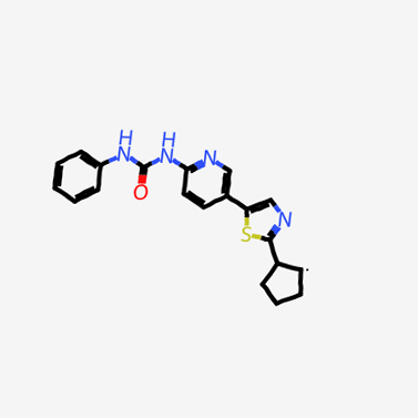 O=C(Nc1ccccc1)Nc1ccc(-c2cnc(C3[CH]CCC3)s2)cn1